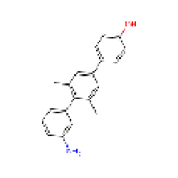 Cc1cc(-c2ccc(O)cc2)cc(C)c1-c1cccc(N)c1